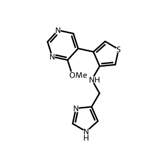 COc1ncncc1-c1cscc1NCc1c[nH]cn1